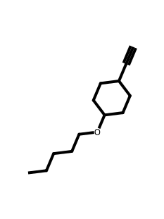 C#CC1CCC(OCCCCC)CC1